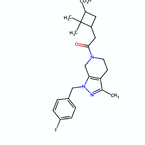 Cc1nn(Cc2ccc(F)cc2)c2c1CCN(C(=O)CC1CC(C(=O)O)C1(C)C)C2